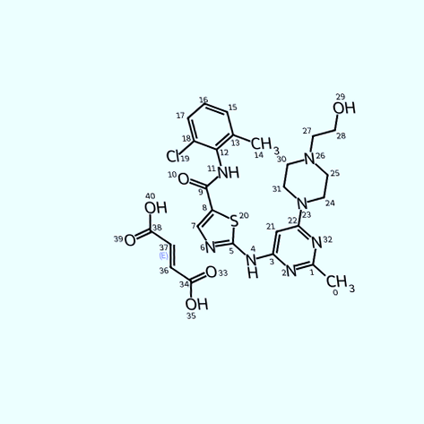 Cc1nc(Nc2ncc(C(=O)Nc3c(C)cccc3Cl)s2)cc(N2CCN(CCO)CC2)n1.O=C(O)/C=C/C(=O)O